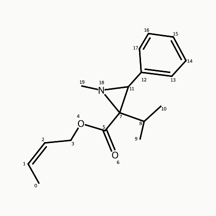 C/C=C\COC(=O)C1(C(C)C)C(c2ccccc2)N1C